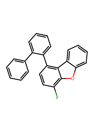 Fc1ccc(-c2ccccc2-c2ccccc2)c2c1oc1ccccc12